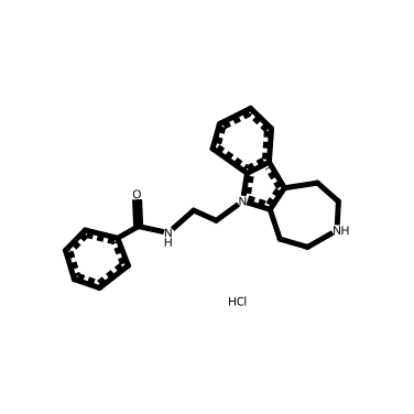 Cl.O=C(NCCn1c2c(c3ccccc31)CCNCC2)c1ccccc1